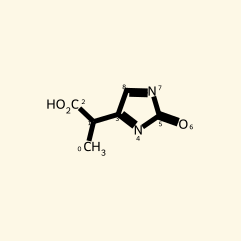 CC(C(=O)O)C1=NC(=O)N=C1